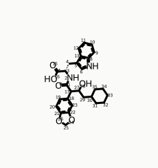 O=C(N[C@@H](Cc1c[nH]c2ccccc12)C(=O)O)C(c1ccc2c(c1)OCO2)C(O)CC1CCCCC1